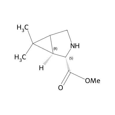 COC(=O)[C@H]1NCC2[C@@H]1C2(C)C